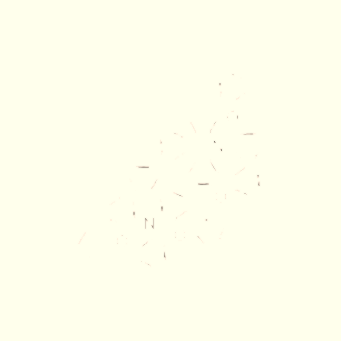 C1=CC2Oc3c(cccc3N(c3ccccc3)c3cc4c(c5c3oc3ccccc35)-c3c(cc(N(c5ccccc5)c5cccc6c5oc5ccccc56)c5c3oc3ccccc35)C43c4ccccc4-c4ccccc43)C2C=C1